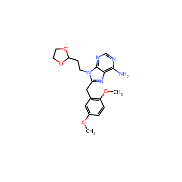 COc1ccc(OC)c(Cc2nc3c(N)ncnc3n2CCC2OCCO2)c1